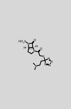 CN(C)CCC1(SCC(=O)N2CC[C@@H]3[C@H]2C(=O)N3S(=O)(=O)O)N=NN=N1